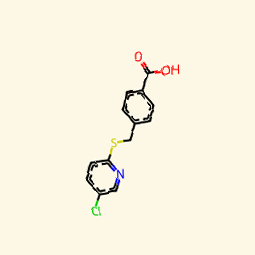 O=C(O)c1ccc(CSc2ccc(Cl)cn2)cc1